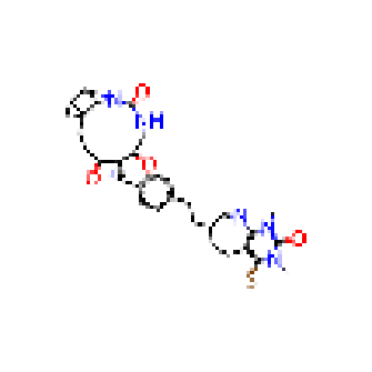 Cn1c2c(c(=S)n(C)c1=O)CCC(CCc1ccc(/C=C3/C(=O)CCC45CC4C4C5N4C(=O)NCC3=O)cc1)C=N2